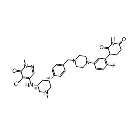 CN1C[C@H](Nc2cnn(C)c(=O)c2Cl)C[C@H](c2ccc(CN3CCN(c4ccc(F)c(C5CCC(=O)NC5=O)c4)CC3)cc2)C1